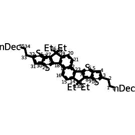 CCCCCCCCCCCCc1cc2sc3c(c2s1)C(CC)(CC)c1ccc2c4c(ccc2c1-3)C(CC)(CC)c1c-4sc2cc(CCCCCCCCCCCC)sc12